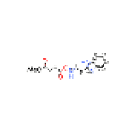 COC(=O)CCC(=O)ONCCc1nc2ccccc2[nH]1